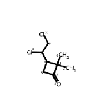 CC1(C)C(=O)CC1C(Cl)CCl